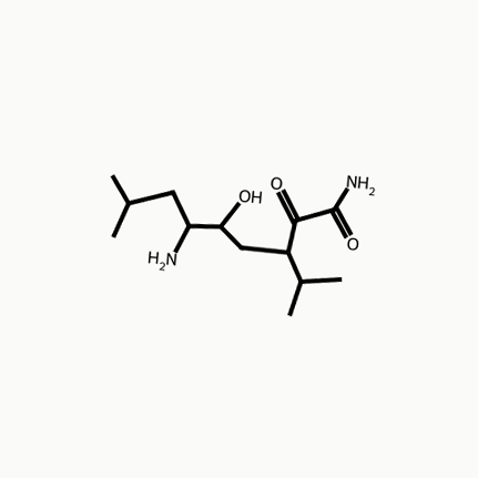 CC(C)CC(N)C(O)CC(C(=O)C(N)=O)C(C)C